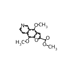 COC(=O)c1cc2c(OC)c3cnccc3c(OC)c2o1